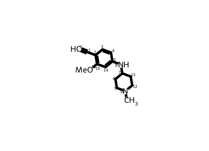 C#Cc1ccc(NC2CCN(C)CC2)cc1OC